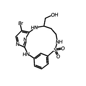 O=S1(=O)NCCC(CO)Nc2nc(ncc2Br)Nc2cccc1c2